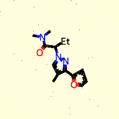 CCC(C(=O)N(C)C)n1cc(C)c(-c2ccco2)n1